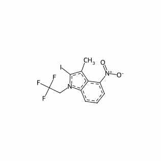 Cc1c(I)n(CC(F)(F)F)c2cccc([N+](=O)[O-])c12